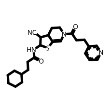 N#CC1C(NC(=O)CCC2CCCCC2)SC2=CN(C(=O)CCc3cccnc3)CCC21